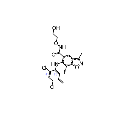 C=C/C=C(Nc1c(C(=O)NOCCO)cc2c(C)noc2c1F)\C(Cl)=C/CCl